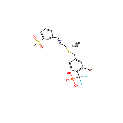 CS(=O)(=O)c1cccc(/C=C/CSCc2ccc(C(F)(F)P(=O)(O)O)c(Br)c2)c1.[NaH].[NaH]